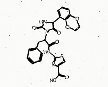 O=C(O)c1csc(NC(=O)C(Cc2ccccc2)N2C(=O)NC(c3cccc4c3OCCO4)C2=O)n1